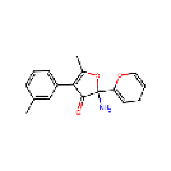 CC1=C(c2cccc(C)c2)C(=O)C(N)(C2=CCC=CO2)O1